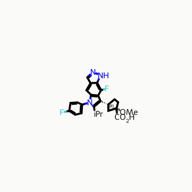 CO[C@@]1(C(=O)O)CC[C@@H](c2c(C(C)C)n(-c3ccc(F)cc3)c3cc4cn[nH]c4c(F)c23)C1